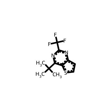 CC(C)(C)c1nc(C(F)(F)F)nc2ccsc12